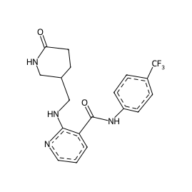 O=C1CCC(CNc2ncccc2C(=O)Nc2ccc(C(F)(F)F)cc2)CN1